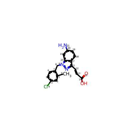 Cc1cc(Cl)ccc1Cn1nc(C=CC(=O)O)c2ccc(N)cc21